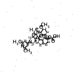 COc1ccc(Cl)cc1N(C)C(=O)[N+](C)(C1CCN(c2cc(C)nc(C)c2)CC1)C1CCc2ccc(OC(=O)O)cc21